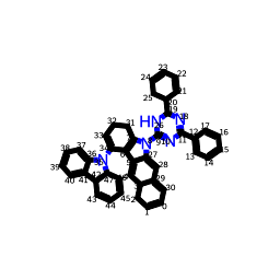 C1=CCC2C=c3c4c(n(C5=NC(c6ccccc6)=NC(C6C=CC=CC6)N5)c3=CC2=C1)CCC=C4N1c2ccccc2C2C=CC=CC21